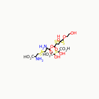 NC(CSSC[C@H](N)C(=O)OC(=O)C(S)CC1(O)SC1OCCO)C(=O)O.O=C(O)C(O)SC(O)C(=O)O